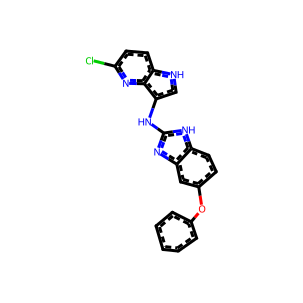 Clc1ccc2[nH]cc(Nc3nc4cc(Oc5ccccc5)ccc4[nH]3)c2n1